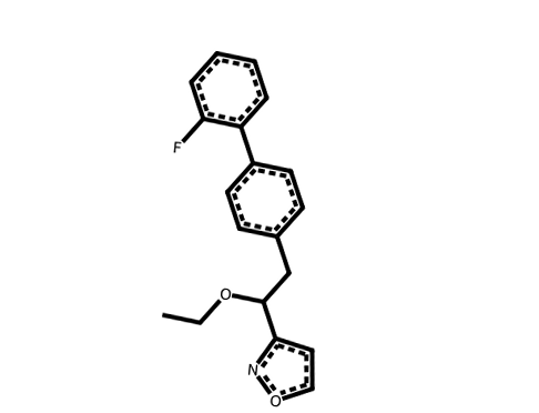 CCOC(Cc1ccc(-c2ccccc2F)cc1)c1ccon1